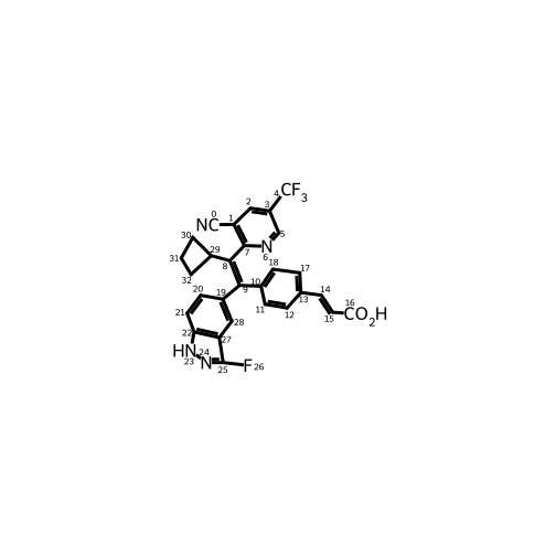 N#Cc1cc(C(F)(F)F)cnc1/C(=C(\c1ccc(/C=C/C(=O)O)cc1)c1ccc2[nH]nc(F)c2c1)C1CCC1